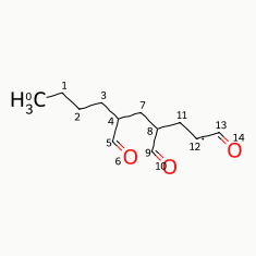 CCCCC(C=O)CC(C=O)C[CH]C=O